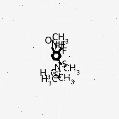 CSC(=NC[Si](C)(C)C)c1ccc(CNC(C)=O)c(C(F)(F)F)c1